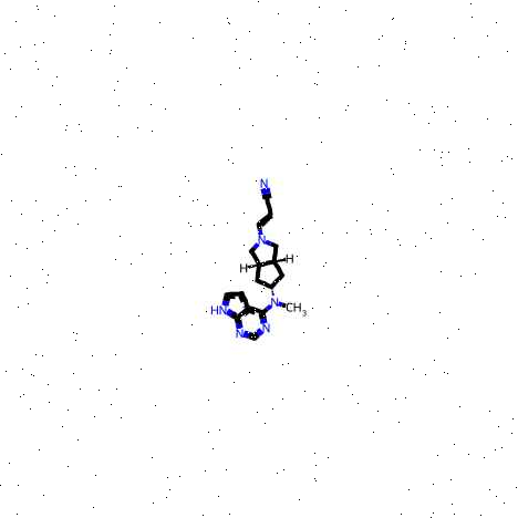 CN(c1ncnc2[nH]ccc12)[C@@H]1C[C@@H]2CN(C=CC#N)C[C@@H]2C1